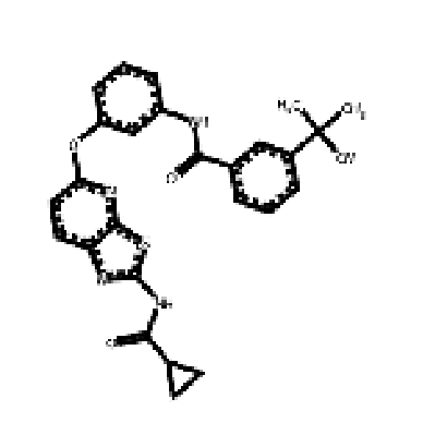 CC(C)(C#N)c1cccc(C(=O)Nc2cccc(Oc3ccc4nc(NC(=O)C5CC5)sc4n3)c2)c1